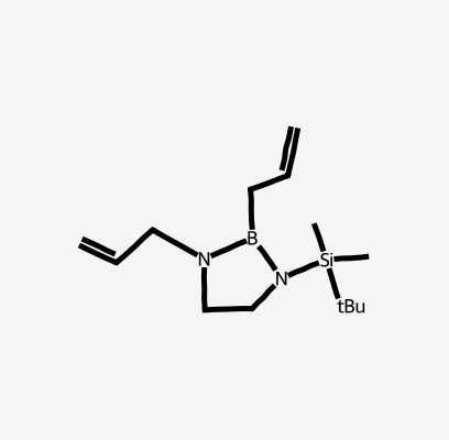 C=CCB1N(CC=C)CCN1[Si](C)(C)C(C)(C)C